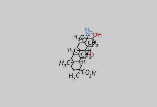 C[C@]1(C(=O)O)CC[C@]2(C)CC[C@]3(C)C(=CC(=O)[C@@H]4[C@@]5(C)CC[C@H](O)[C@@](C)(N)[C@@H]5CC[C@]43C)[C@@H]2C1